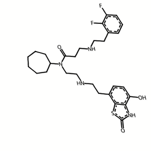 O=C(CCNCCc1cccc(F)c1F)N(CCNCCc1ccc(O)c2[nH]c(=O)sc12)C1CCCCCC1